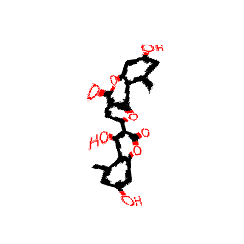 Cc1cc(O)cc2oc(=O)c(-c3cc4c(=O)oc5cc(O)cc(C)c5c4o3)c(O)c12